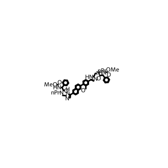 CCCN(Cc1ncc(-c2ccc3c(c2)COc2c-3ccc3cc(-c4cnc(CN(CCC)C(=O)C(NC(=O)OC)c5ccccc5)[nH]4)ccc23)[nH]1)C(=O)C(NC(=O)OC)c1ccccc1